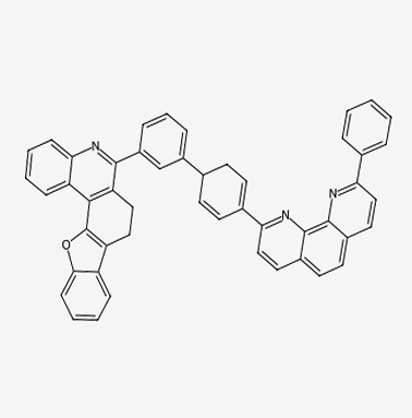 C1=CC(c2cccc(-c3nc4ccccc4c4c3CCc3c-4oc4ccccc34)c2)CC=C1c1ccc2ccc3ccc(-c4ccccc4)nc3c2n1